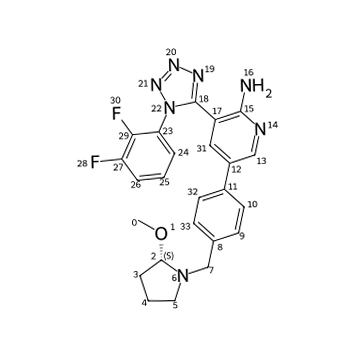 CO[C@H]1CCCN1Cc1ccc(-c2cnc(N)c(-c3nnnn3-c3cccc(F)c3F)c2)cc1